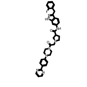 O=C(Nc1ccc2c(Cc3ccccc3F)n[nH]c2c1)C1CCN(CC(=O)N2CCN(c3ccc(-c4ncccn4)cc3)CC2)C1